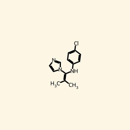 CC(C)=C(Nc1ccc(Cl)cc1)n1ccnc1